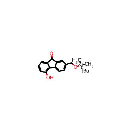 CC(C)(C)[Si](C)(C)OCc1ccc2c(c1)C(=O)c1cccc(O)c1-2